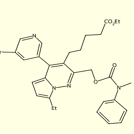 CCOC(=O)CCCCc1c(COC(=O)N(C)c2ccccc2)nn2c(CC)ccc2c1-c1cncc(Br)c1